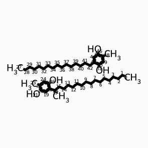 CCCCCCCCCCCCCCCCC(C)c1cc(O)c(C)cc1O.CCCCCCCCCCCCCCCCc1cc(O)c(C)cc1O